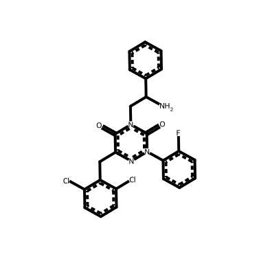 NC(Cn1c(=O)c(Cc2c(Cl)cccc2Cl)nn(-c2ccccc2F)c1=O)c1ccccc1